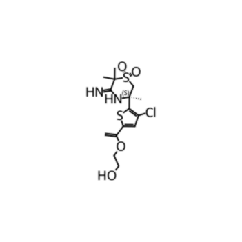 C=C(OCCO)c1cc(Cl)c([C@]2(C)CS(=O)(=O)C(C)(C)C(=N)N2)s1